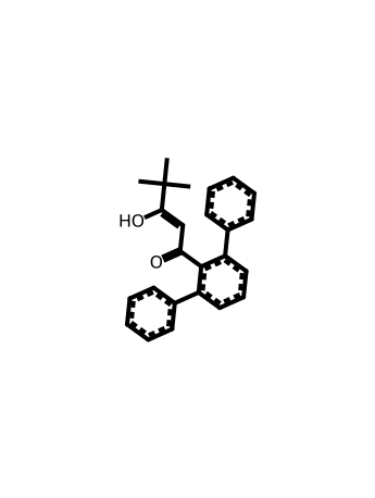 CC(C)(C)/C(O)=C/C(=O)c1c(-c2ccccc2)cccc1-c1ccccc1